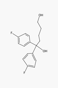 OCCCCC(O)(c1ccc(F)cc1)c1ccc(F)cc1